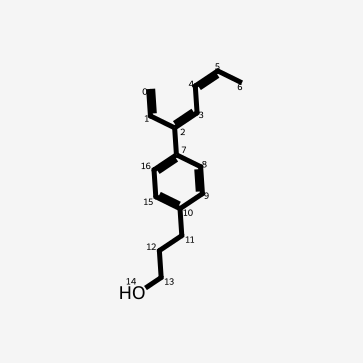 C=C/C(=C\C=C/C)c1ccc(CCCO)cc1